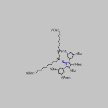 CCCCCCC1=C(c2cc(CCCC)cc(CCCCC)c2)[N+](=[N-])C(c2cc(CCCC)cc(CCCCC)c2)=C1CCCC.CCCCCCCCCCCCCCCCCC[CH2][Ni][CH2]CCCCCCCCCCCCCCCCCC